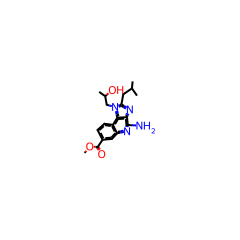 COC(=O)c1ccc2c(c1)nc(N)c1nc(CC(C)C)n(CC(C)O)c12